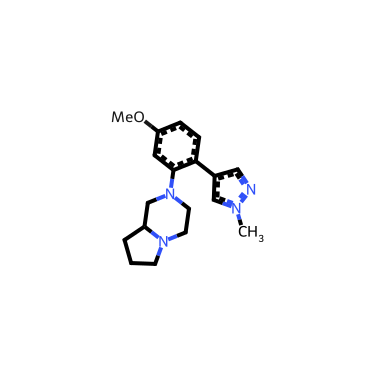 COc1ccc(-c2cnn(C)c2)c(N2CCN3CCCC3C2)c1